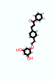 O=C(C=Cc1ccc(CCOc2cc(O)cc(O)c2)cc1)c1ccccc1